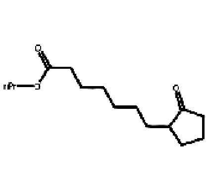 CCCOC(=O)CCCCCCC1CCCC1=O